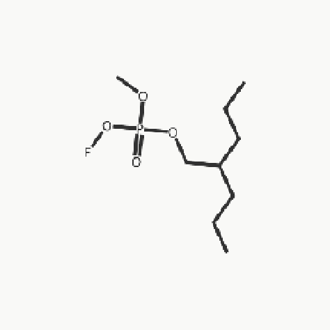 CCCC(CCC)COP(=O)(OC)OF